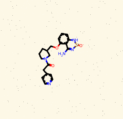 NC1=N[S+]([O-])Nc2cccc(OCC3CCCN(C(=O)Cc4ccncc4)C3)c21